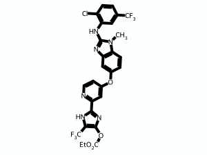 CCOC(=O)Oc1nc(-c2cc(Oc3ccc4c(c3)nc(Nc3cc(C(F)(F)F)ccc3Cl)n4C)ccn2)[nH]c1C(F)(F)F